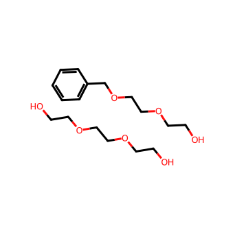 OCCOCCOCCO.OCCOCCOCc1ccccc1